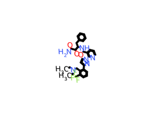 CCN(CC)Cc1c(-c2ccn(-c3ncccc3C(=O)NC(Cc3ccccc3)C(=O)C(N)=O)n2)cccc1C(F)(F)F